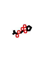 C=C(C)C(=O)OCC(=O)OC1CCCC1=O